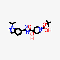 CC(C)n1ncc2ccc(-c3noc(C4(O)CCN(C(O)OC(C)(C)C)CC4)n3)cc21